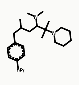 CCCc1ccc(CC(C)CC(N(C)C)C(C)(C)N2CCCCC2)cc1